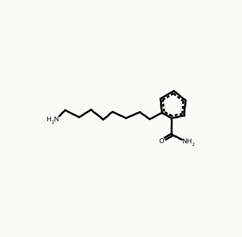 NCCCCCCCCc1ccccc1C(N)=O